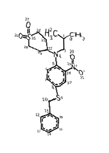 CC(C)CN(c1ccc(SCc2ccccc2)cc1[N+](=O)[O-])C1CCS(=O)(=O)CC1